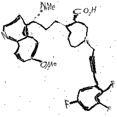 CN[C@H](CC[C@@H]1CCN(CC#Cc2cc(F)cc(F)c2F)C[C@@H]1C(=O)O)c1ccnc2ccc(OC)cc12